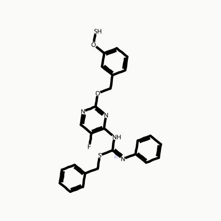 Fc1cnc(OCc2cccc(OS)c2)nc1N/C(=N\c1ccccc1)SCc1ccccc1